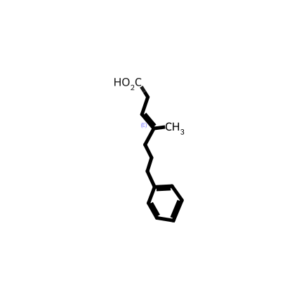 C/C(=C\CC(=O)O)CCCc1ccccc1